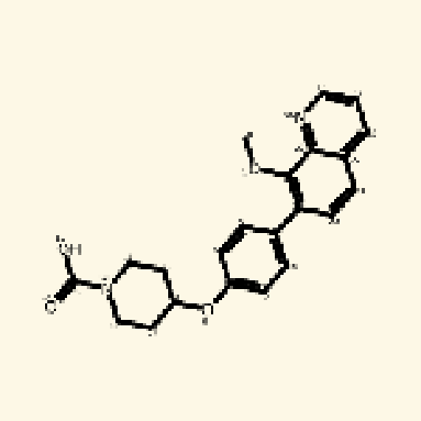 COc1c(-c2ccc(OC3CCN(C(=O)O)CC3)cc2)ccc2cccnc12